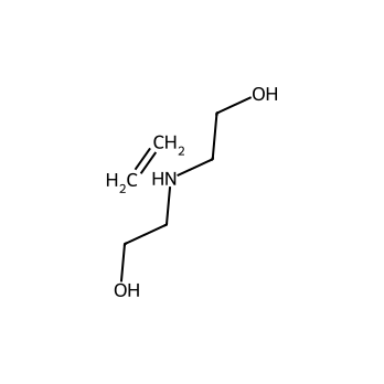 C=C.OCCNCCO